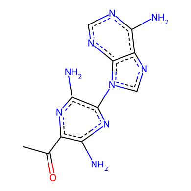 CC(=O)c1nc(N)c(-n2cnc3c(N)ncnc32)nc1N